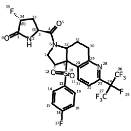 O=C1N[C@H](C(=O)N2CCC3(S(=O)(=O)c4ccc(F)cc4)c4ccc(C(F)(C(F)(F)F)C(F)(F)F)nc4CCC23)C[C@H]1F